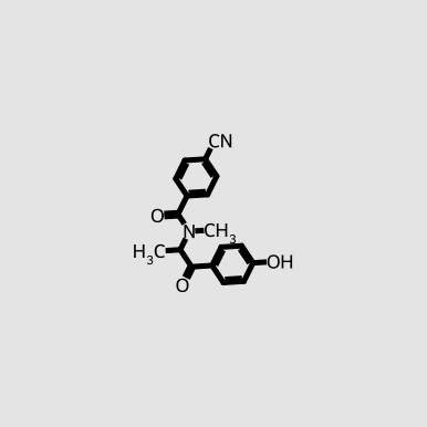 CC(C(=O)c1ccc(O)cc1)N(C)C(=O)c1ccc(C#N)cc1